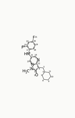 Cn1c(=O)c(CC2CCCCC2)c2ncc(Nc3ccc(F)cc3F)cn21